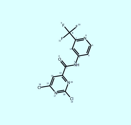 O=C(Nc1ccnc(C(F)(F)F)c1)c1cc(Cl)nc(Cl)n1